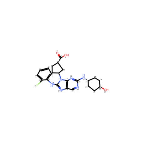 O=C(O)[C@@H]1CC[C@H](n2c(Nc3ccccc3F)nc3cnc(N[C@H]4CC[C@H](O)CC4)nc32)C1